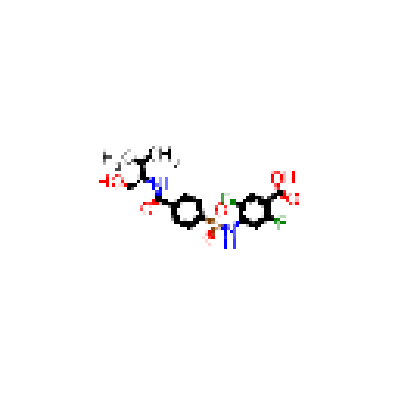 CC(C)[C@H](CO)NC(=O)c1ccc(S(=O)(=O)Nc2cc(F)c(C(=O)O)cc2F)cc1